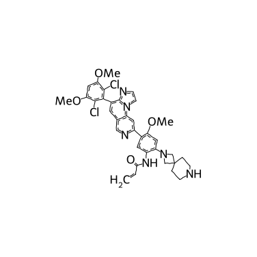 C=CC(=O)Nc1cc(-c2cc3c(cn2)cc(-c2c(Cl)c(OC)cc(OC)c2Cl)c2nccn23)c(OC)cc1N1CC2(CCNCC2)C1